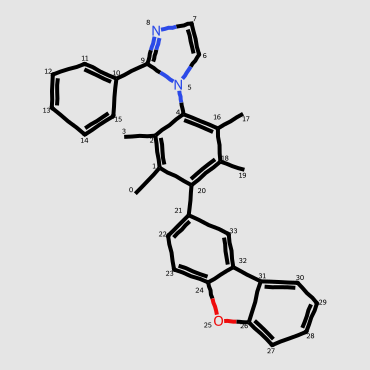 Cc1c(C)c(-n2ccnc2-c2ccccc2)c(C)c(C)c1-c1ccc2oc3ccccc3c2c1